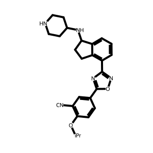 [C-]#[N+]c1cc(-c2nc(-c3cccc4c3CCC4NC3CCNCC3)no2)ccc1OC(C)C